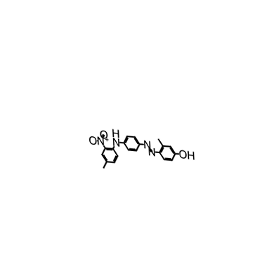 Cc1ccc(Nc2ccc(N=Nc3ccc(O)cc3C)cc2)c([N+](=O)[O-])c1